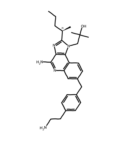 CCC[C@@H](C)c1nc2c(N)nc3cc(Cc4ccc(CCN)cc4)ccc3c2n1CC(C)(C)O